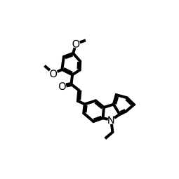 CCn1c2ccccc2c2cc(C=CC(=O)c3ccc(OC)cc3OC)ccc21